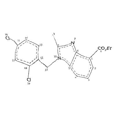 CCOC(=O)c1cccc2c1nc(C)n2Cc1ccc(Cl)cc1Cl